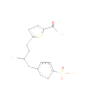 CC(=O)c1ccc(CCC(C)Cc2ccc(S(=O)(=O)O)cc2)s1